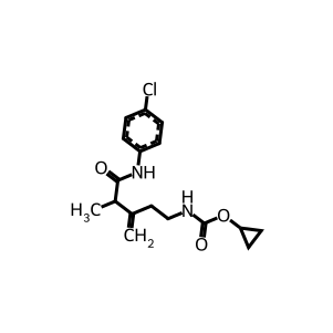 C=C(CCNC(=O)OC1CC1)C(C)C(=O)Nc1ccc(Cl)cc1